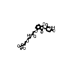 CS(=O)(=O)OCCOCCNC(=O)COc1cccc2c1C(=O)N(C1CCC(=O)NC1=O)C2=O